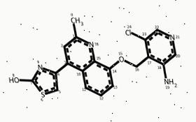 Cc1cc(-c2csc(O)n2)c2cccc(OCc3c(N)cncc3Cl)c2n1